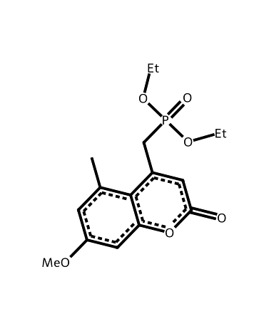 CCOP(=O)(Cc1cc(=O)oc2cc(OC)cc(C)c12)OCC